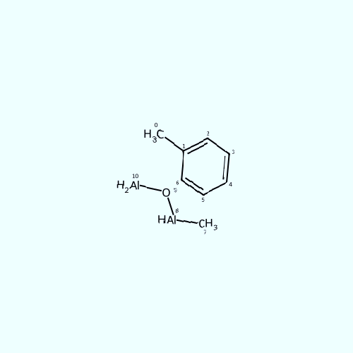 Cc1ccccc1.[CH3][AlH][O][AlH2]